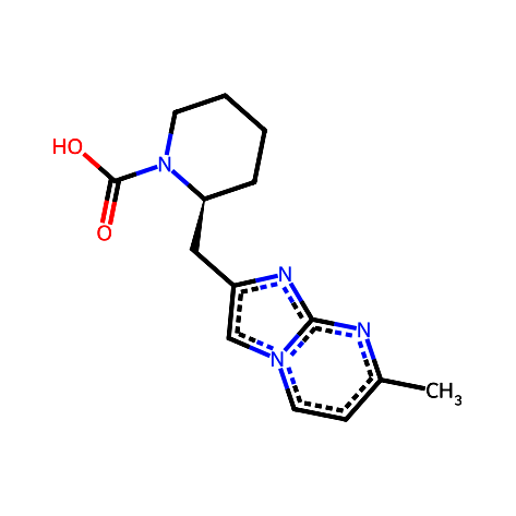 Cc1ccn2cc(C[C@@H]3CCCCN3C(=O)O)nc2n1